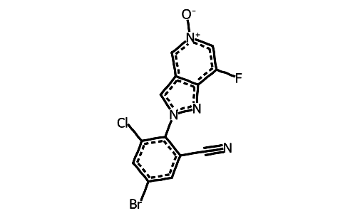 N#Cc1cc(Br)cc(Cl)c1-n1cc2c[n+]([O-])cc(F)c2n1